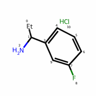 CCC(N)c1cccc(F)c1.Cl